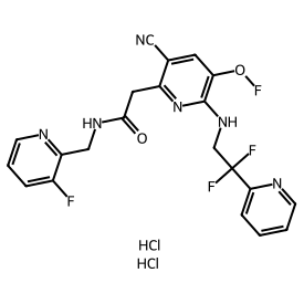 Cl.Cl.N#Cc1cc(OF)c(NCC(F)(F)c2ccccn2)nc1CC(=O)NCc1ncccc1F